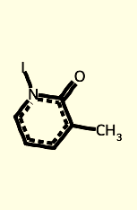 Cc1cccn(I)c1=O